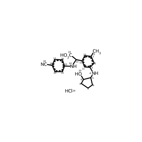 Cc1cc(NC2CCCC2O)cc(C(Nc2ccc(C#N)cc2)C(=O)O)c1.Cl